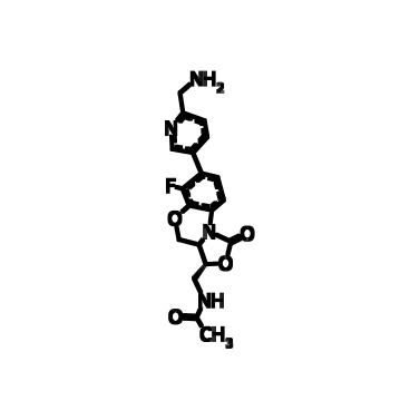 CC(=O)NC[C@@H]1OC(=O)N2c3ccc(-c4ccc(CN)nc4)c(F)c3OCC12